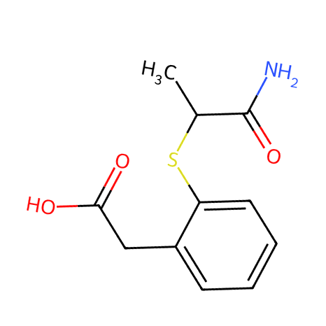 CC(Sc1ccccc1CC(=O)O)C(N)=O